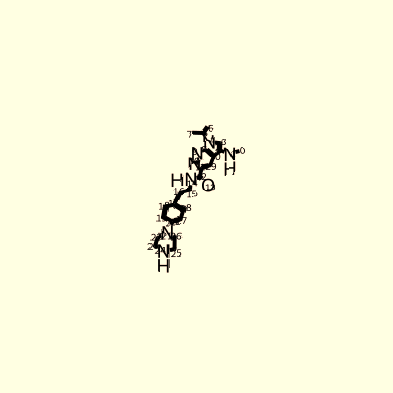 CNc1cn(C(C)C)c2nnc(C(=O)NCCc3ccc(N4CCNCC4)cc3)cc12